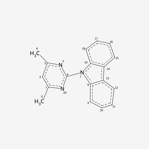 Cc1cc(C)nc(-n2c3ccccc3c3ccccc32)n1